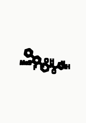 CSc1c(-c2ccccc2)ccc(N2CCCC(NC(=O)c3cn[nH]c3)C2=O)c1F